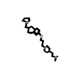 CN(C)CCC1CCN(CCCOc2ccc3c(c2)CCC(CN2CCCC2)C3)CC1